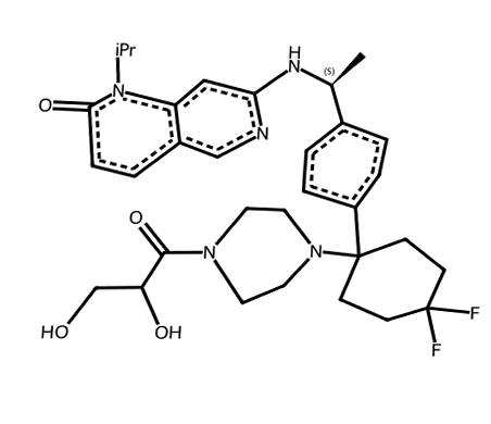 CC(C)n1c(=O)ccc2cnc(N[C@@H](C)c3ccc(C4(N5CCN(C(=O)C(O)CO)CC5)CCC(F)(F)CC4)cc3)cc21